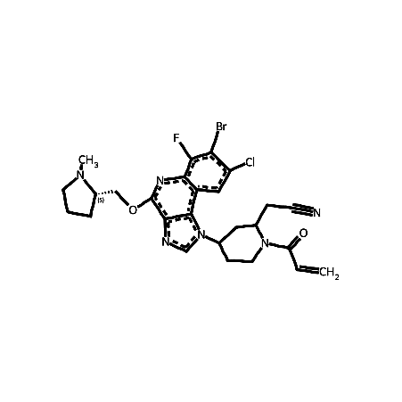 C=CC(=O)N1CCC(n2cnc3c(OC[C@@H]4CCCN4C)nc4c(F)c(Br)c(Cl)cc4c32)CC1CC#N